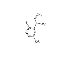 [CH2]C(C=C)c1cc(C)ccc1F